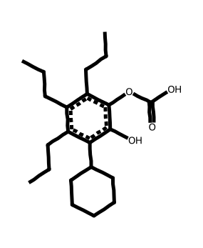 CCCc1c(CCC)c(OC(=O)O)c(O)c(C2CCCCC2)c1CCC